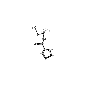 C=C(CS)NC(=O)c1cccs1